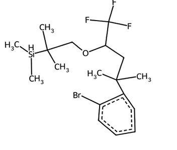 C[SiH](C)C(C)(C)COC(CC(C)(C)c1ccccc1Br)C(F)(F)F